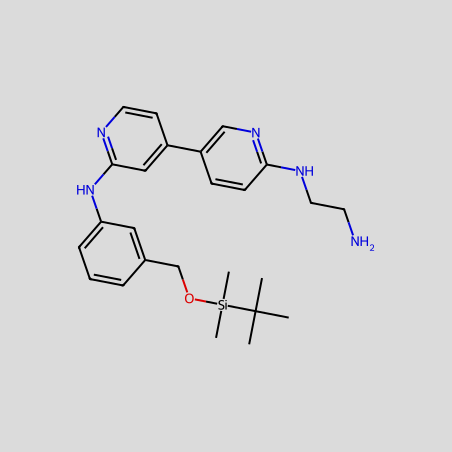 CC(C)(C)[Si](C)(C)OCc1cccc(Nc2cc(-c3ccc(NCCN)nc3)ccn2)c1